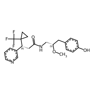 CO[C@H](CNC(=O)C[C@H](c1cccnc1)C1(C(F)(F)F)CC1)Cc1ccc(O)cc1